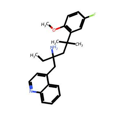 CCC(N)(Cc1ccnc2ccccc12)CC(C)(C)c1cc(F)ccc1OC